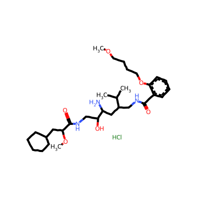 COCCCCOc1ccccc1C(=O)NCC(CC(N)C(O)CNC(=O)C(CC1CCCCC1)OC)C(C)C.Cl